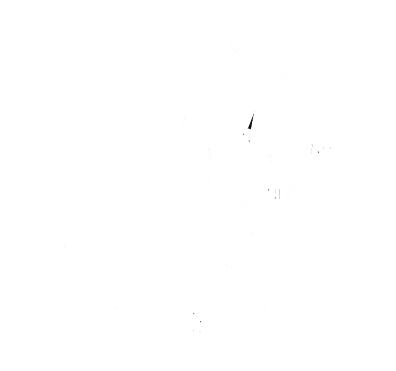 N=C1N[C@]2(CC(=O)N1[C@@H]1CCCOC1)Cc1c(Nc3ccc(F)cc3)cccc12